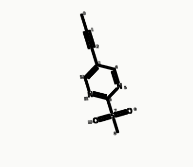 CC#Cc1cnc(S(C)(=O)=O)nc1